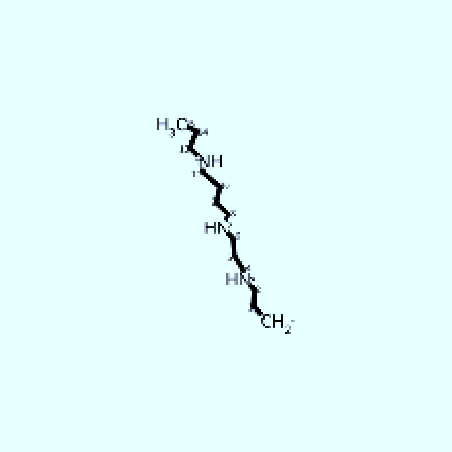 [CH2]CCNCCCNCCCCNCCC